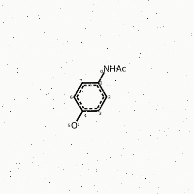 CC(=O)Nc1ccc([O])cc1